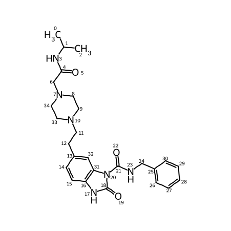 CC(C)NC(=O)CN1CCN(CCc2ccc3[nH]c(=O)n(C(=O)NCc4ccccc4)c3c2)CC1